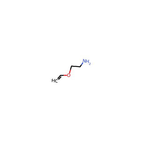 [CH]=COCCN